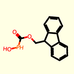 O=C(OCC1c2ccccc2-c2ccccc21)PO